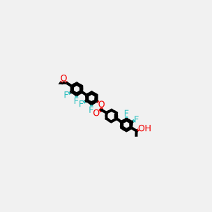 CC(O)c1ccc(C2=CCC(C(=O)Oc3ccc(-c4ccc(C5CO5)c(F)c4F)c(F)c3F)CC2)c(F)c1F